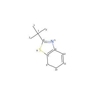 CC(C)(C)c1nc2c(s1)CCC=C2